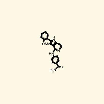 COc1ccccc1-c1cc2c(Nc3ccc(C(N)=O)cc3)nccc2[nH]1